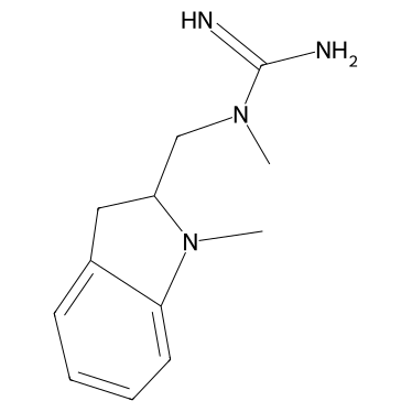 CN(CC1Cc2ccccc2N1C)C(=N)N